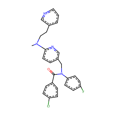 CN(CCc1cccnc1)c1ccc(CN(C(=O)c2ccc(Cl)cc2)c2ccc(F)cc2)cn1